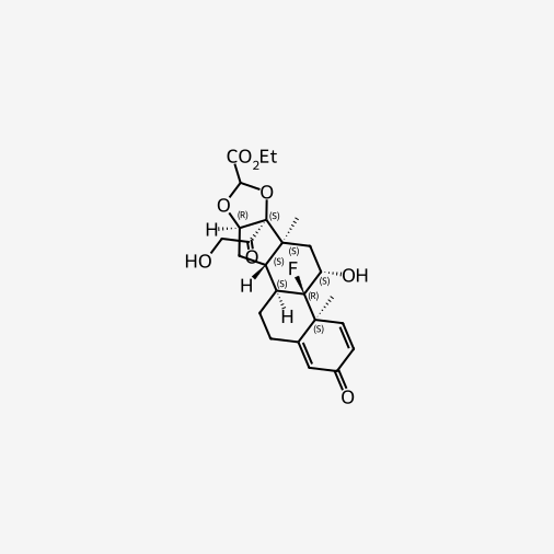 CCOC(=O)C1O[C@@H]2C[C@H]3[C@@H]4CCC5=CC(=O)C=C[C@]5(C)[C@@]4(F)[C@@H](O)C[C@]3(C)[C@]2(C(=O)CO)O1